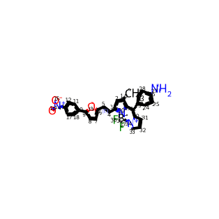 Cc1cc(/C=C/c2ccc(-c3ccc([N+](=O)[O-])cc3)o2)n2c1C(c1ccc(N)cc1)=C1C=CC=[N+]1[B-]2(F)F